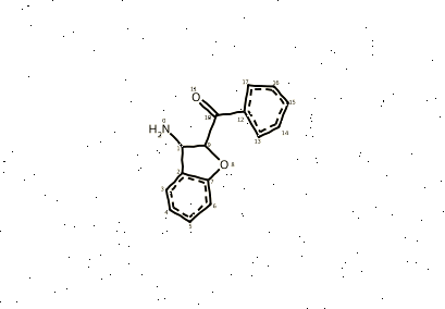 NC1c2ccccc2OC1C(=O)c1ccccc1